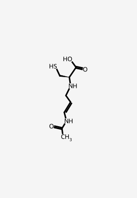 CC(=O)NC=CCN[C@@H](CS)C(=O)O